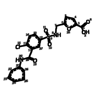 O=C(O)c1ccc(CNS(=O)(=O)c2ccc(Cl)c(C(=O)Nc3ccccc3)c2)o1